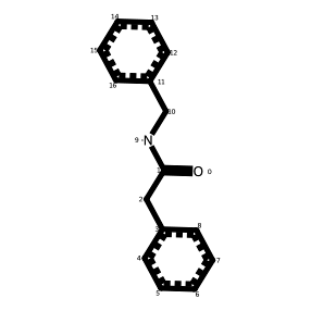 O=C(Cc1ccccc1)[N]Cc1ccccc1